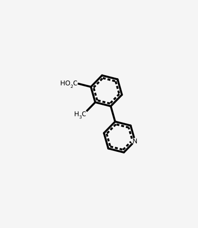 Cc1c(C(=O)O)cccc1-c1cccnc1